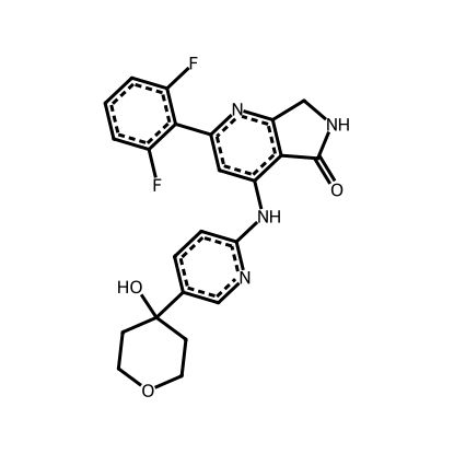 O=C1NCc2nc(-c3c(F)cccc3F)cc(Nc3ccc(C4(O)CCOCC4)cn3)c21